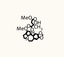 COC(=O)CC(C)(O)C(=O)OC1C(OC)=C2CCN3CCc4cc5c(cc4[C@H]1C23)OCO5